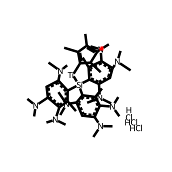 CC1=C(C)C(C)[C]([Ti][Si](c2c(N(C)C)cc(N(C)C)c(N(C)C)c2C)(c2c(N(C)C)cc(N(C)C)c(N(C)C)c2C)c2c(N(C)C)cc(N(C)C)c(N(C)C)c2C)=C1C.Cl.Cl.Cl